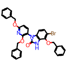 O=c1[nH]c2c(OCc3ccccc3)c(Br)ccc2n1-c1ccc(OCc2ccccc2)nc1OCc1ccccc1